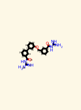 N=C(N)NC(=O)c1cccc(COc2cccc(-c3cccc(C(=O)NC(=N)N)c3)c2)c1